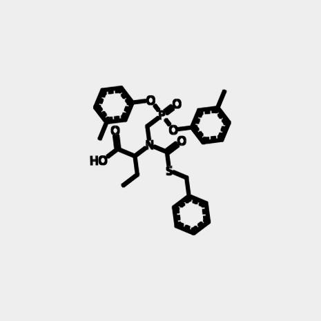 CCC(C(=O)O)N(CP(=O)(Oc1cccc(C)c1)Oc1cccc(C)c1)C(=O)SCc1ccccc1